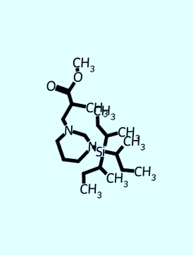 CCC(C)[Si](C(C)CC)(C(C)CC)N1CCCN(CC(C)C(=O)OC)C1